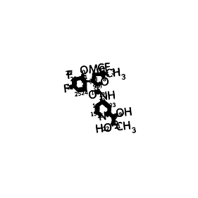 COc1c([C@H]2C[C@@](C)(C(F)(F)F)O[C@@H]2C(=O)Nc2ccnc([C@@H](O)[C@@H](C)O)c2)ccc(F)c1F